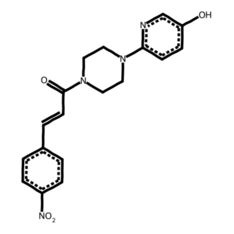 O=C(/C=C/c1ccc([N+](=O)[O-])cc1)N1CCN(c2ccc(O)cn2)CC1